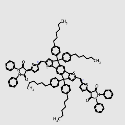 CCCCCCc1ccc(C2(c3ccc(CCCCCC)cc3)c3cc4c(cc3-c3sc(/C=c5\ccc(=C6C(=O)N(c7ccccc7)N(c7ccccc7)C6=O)s5)cc32)C(c2ccc(CCCCCC)cc2)(c2ccc(CCCCCC)cc2)c2cc(/C=c3\ccc(=C5C(=O)N(c6ccccc6)N(c6ccccc6)C5=O)s3)sc2-4)cc1